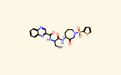 CC(C)CC(NC(=O)c1cnc2ccccc2n1)C(=O)N[C@H]1CCCN(S(=O)(=O)c2cccs2)CC1=O